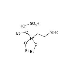 CCCCCCCCCCCC[N+](OCC)(OCC)OCC.O=S(=O)(O)O